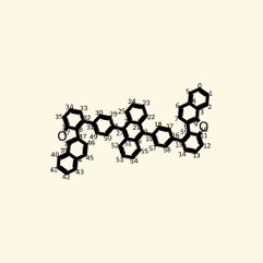 c1ccc2c(c1)ccc1c2oc2cccc(-c3ccc(-c4c5ccccc5c(-c5ccc(-c6cccc7oc8c9ccccc9ccc8c67)cc5)c5ccccc45)cc3)c21